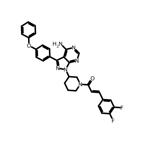 Nc1ncnc2c1c(-c1ccc(Oc3ccccc3)cc1)nn2C1CCCN(C(=O)C=Cc2ccc(F)c(F)c2)C1